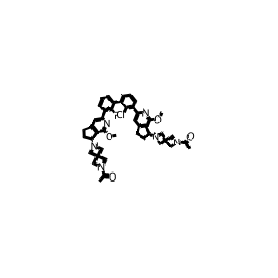 COc1nc(-c2cccc(-c3cccc(-c4cc5c(c(OC)n4)[C@H](N4CC6(CN(C(C)=O)C6)C4)CC5)c3F)c2Cl)cc2c1C(N1CC3(CN(C(C)=O)C3)C1)CC2